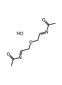 CC(=O)N=CCOCC=NC(C)=O.Cl